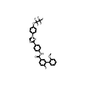 COc1ccccc1-c1cc(C(=O)Nc2ccc(-c3ncn(-c4ccc(OC(F)(F)C(F)(F)F)cc4)n3)cc2)ccc1F